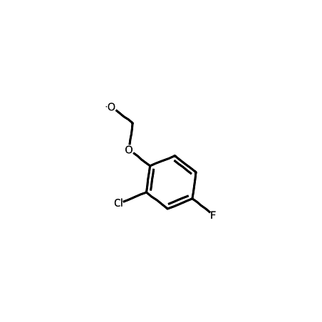 [O]COc1ccc(F)cc1Cl